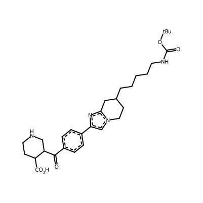 CC(C)(C)OC(=O)NCCCCCC1CCn2cc(-c3ccc(C(=O)C4CNCCC4C(=O)O)cc3)nc2C1